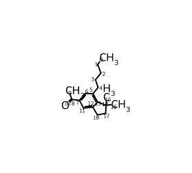 CCCCCc1cc(C(C)=O)cc2c1C(C)(C)CC2